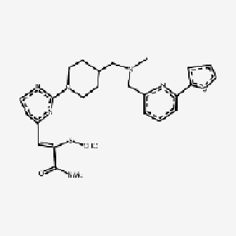 CNC(=O)/C(=C/c1ccnc(N2CCC(CN(C)Cc3cccc(-c4cccs4)n3)CC2)n1)SC=O